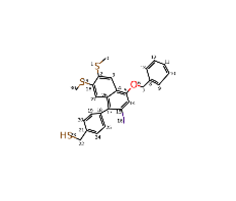 CSc1cc2c(OCc3ccccc3)cc(I)c(-c3ccc(CS)cc3)c2cc1SC